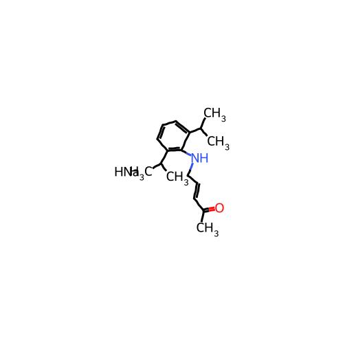 CC(=O)C=CCNc1c(C(C)C)cccc1C(C)C.[NaH]